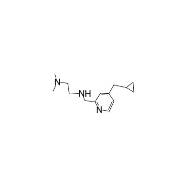 CN(C)CCNCc1cc(CC2CC2)ccn1